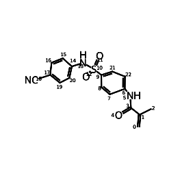 C=C(C)C(=O)Nc1ccc(S(=O)(=O)Nc2ccc(C#N)cc2)cc1